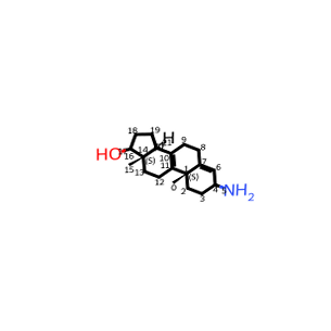 C[C@]12CCC(N)C=C1CCC1=C2CC[C@]2(C)C(O)CC[C@@H]12